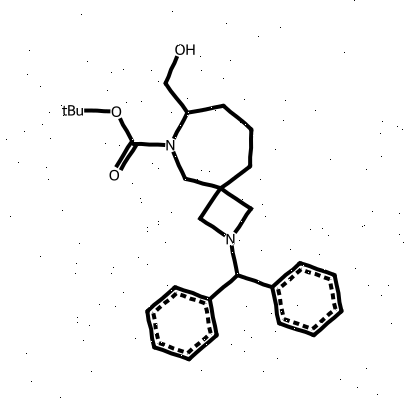 CC(C)(C)OC(=O)N1CC2(CCCC1CO)CN(C(c1ccccc1)c1ccccc1)C2